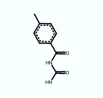 Cc1ccc(C(=O)NC([NH])=O)cc1